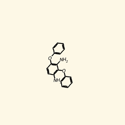 Nc1ccc(Oc2ccccc2)c(N)c1Oc1ccccc1